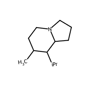 CC(C)C1C(C)CCN2CCCC12